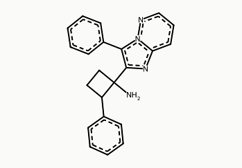 NC1(c2nc3cccnn3c2-c2ccccc2)CCC1c1ccccc1